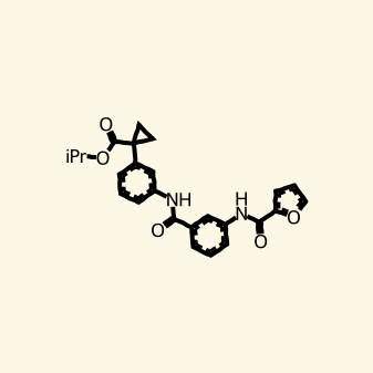 CC(C)OC(=O)C1(c2cccc(NC(=O)c3cccc(NC(=O)c4ccco4)c3)c2)CC1